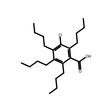 CCCCc1c(Cl)c(CCCC)c(C(=O)O)c(CCCC)c1CCCC